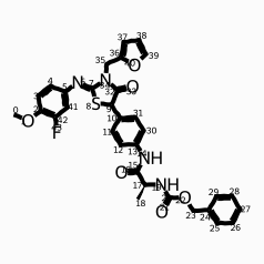 COc1ccc(/N=C2\SC(c3ccc(NC(=O)[C@H](C)NC(=O)OCc4ccccc4)cc3)C(=O)N2Cc2ccco2)cc1F